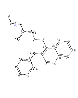 C/C=C/C(=O)NCCc1c(Sc2ccccn2)ccc2ccccc12